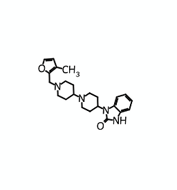 Cc1ccoc1CN1CCC(N2CCC(n3c(=O)[nH]c4ccccc43)CC2)CC1